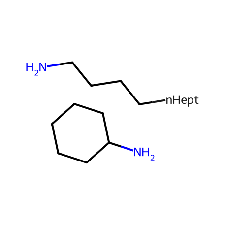 CCCCCCCCCCCN.NC1CCCCC1